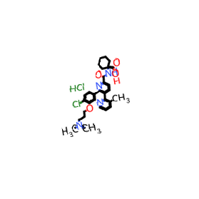 Cc1cccnc1-c1ccc(C(=O)NC2(C(=O)O)CCCCC2)nc1-c1ccc(Cl)c(OCCCN(C)C)c1.Cl